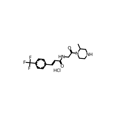 CC1CNCCN1C(=O)CNC(=O)/C=C/c1ccc(C(F)(F)F)cc1.Cl